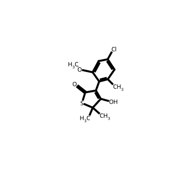 COc1cc(Cl)cc(C)c1C1=C(O)C(C)(C)SC1=O